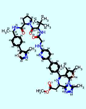 COC(=O)CC1N=C(c2ccc(-c3ccc(NCC(=O)NC(C(=O)N4CCCC4C(=O)N[C@@H](C)c4ccc(-c5scnc5C)cc4)C(C)(C)C)nc3)cc2)c2c(sc(C)c2C)-n2c(C)nnc21